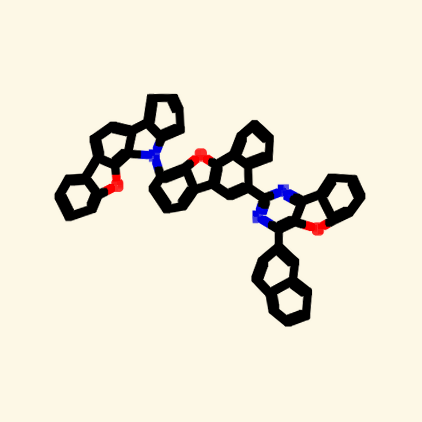 c1ccc2cc(-c3nc(-c4cc5c6cccc(-n7c8ccccc8c8ccc9c%10ccccc%10oc9c87)c6oc5c5ccccc45)nc4c3oc3ccccc34)ccc2c1